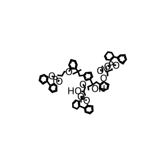 CCC(O)(Cc1ccccc1OCC(CP1(=O)Oc2ccccc2C2=C1C=CCC2)N=O)c1cccc(CC(C)(C)c2ccccc2OCCCP2(=O)Oc3ccccc3-c3ccccc32)c1OCC(O)CP1(=O)Oc2ccccc2C2=C1C=CCC2